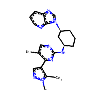 Cc1c(-c2nc(N[C@@H]3CCC[C@H](n4cnc5cccnc54)C3)ncc2C#N)cnn1C